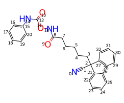 N#CC(CCCCCC(=O)NOC(=O)Nc1ccccc1)(c1ccccc1)c1ccccc1